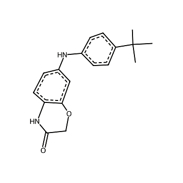 CC(C)(C)c1ccc(Nc2ccc3c(c2)OCC(=O)N3)cc1